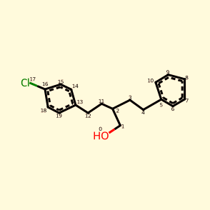 OCC(CCc1ccccc1)CCc1ccc(Cl)cc1